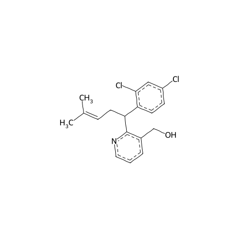 CC(C)=CCC(c1ccc(Cl)cc1Cl)c1ncccc1CO